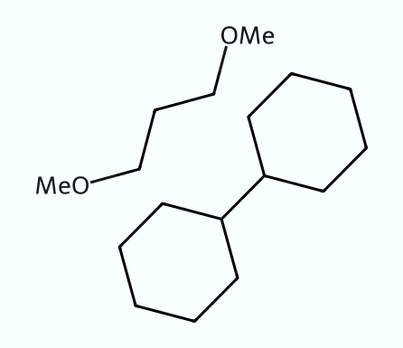 C1CCC(C2CCCCC2)CC1.COCCCOC